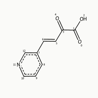 O=C(O)C(=O)C=Cc1cccnc1